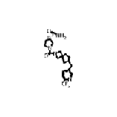 NC(=O)[C@H]1CCN(C(=O)N2CC3(CCC(Cc4ccc(C(F)(F)F)nc4)C3)C2)C1